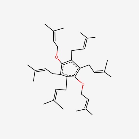 CC(C)=CCOc1c(CC=C(C)C)c(CC=C(C)C)c(OCC=C(C)C)c(CC=C(C)C)c1CC=C(C)C